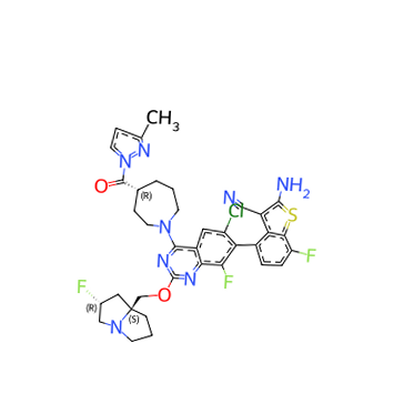 Cc1ccn(C(=O)[C@@H]2CCCN(c3nc(OC[C@@]45CCCN4C[C@H](F)C5)nc4c(F)c(-c5ccc(F)c6sc(N)c(C#N)c56)c(Cl)cc34)CC2)n1